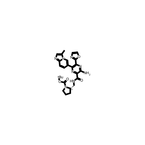 Cc1cnc2ccc(-c3nc(C(=O)NC[C@@H]4CCCN4C(=O)OC(C)(C)C)c(N)nc3-c3ncco3)cn12